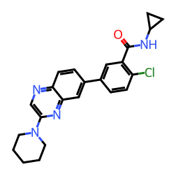 O=C(NC1CC1)c1cc(-c2ccc3ncc(N4CCCCC4)nc3c2)ccc1Cl